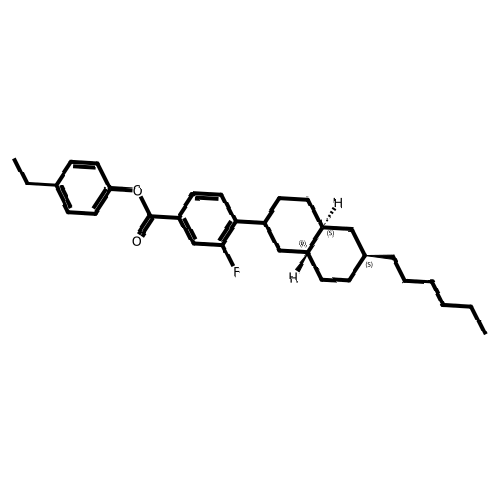 CCCCCC[C@H]1CC[C@@H]2CC(c3ccc(C(=O)Oc4ccc(CC)cc4)cc3F)CC[C@H]2C1